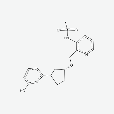 CS(=O)(=O)Nc1cccnc1CO[C@@H]1CC[C@H](c2cccc(O)c2)C1